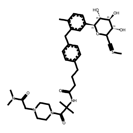 CS#CC1O[C@@H](c2ccc(C)c(Cc3ccc(CCCC(=O)NC(C)(C)C(=O)N4CCN(CC(=O)N(C)C)CC4)cc3)c2)[C@H](O)[C@@H](O)[C@@H]1O